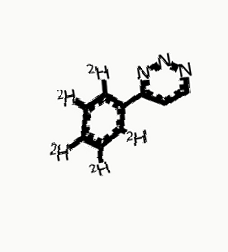 [2H]c1c([2H])c([2H])c(-c2ccnnn2)c([2H])c1[2H]